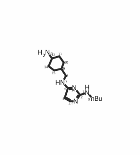 CCCCNc1nccc(NCC2CCC(N)CC2)n1